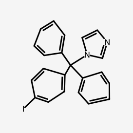 Ic1ccc(C(c2ccccc2)(c2ccccc2)n2ccnc2)cc1